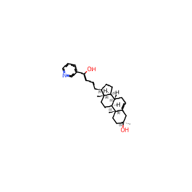 C[C@]1(O)CC[C@@]2(C)C(=CC[C@H]3[C@@H]4CC[C@H](CCCC(O)c5cccnc5)[C@@]4(C)CC[C@@H]32)C1